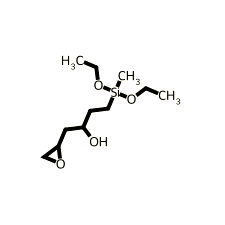 CCO[Si](C)(CCC(O)CC1CO1)OCC